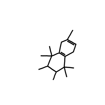 CC1=CCC2=C(C1)C(C)(C)C(C)C(C)C2(C)C